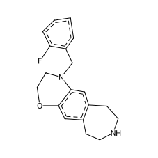 Fc1ccccc1CN1CCOc2cc3c(cc21)CCNCC3